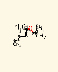 C=C(C)COC(C)CCCCC